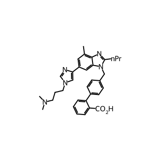 CCCc1nc2c(C)cc(-c3cn(CCCN(C)C)cn3)cc2n1Cc1ccc(-c2ccccc2C(=O)O)cc1